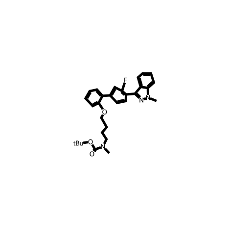 CN(CCCCOc1ccccc1-c1ccc(-c2nn(C)c3ccccc23)c(F)c1)C(=O)OC(C)(C)C